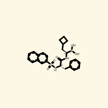 O=C(N[C@@H](CC1CCC1)B(O)O)[C@H](Cc1ccccc1)NS(=O)(=O)c1ccc2ccccc2c1